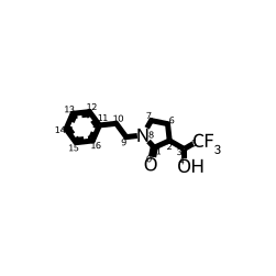 O=C1C(C(O)C(F)(F)F)CCN1CCc1ccccc1